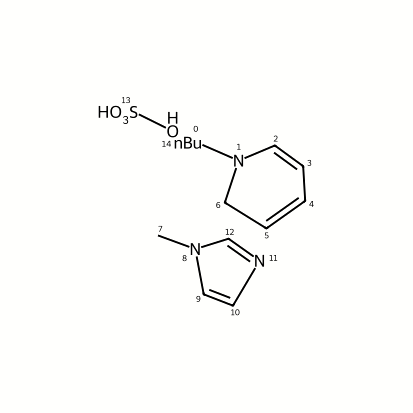 CCCCN1C=CC=CC1.Cn1ccnc1.O=S(=O)(O)O